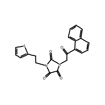 O=C(CN1C(=O)C(=O)N(CCc2cccs2)C1=O)c1cccc2ccccc12